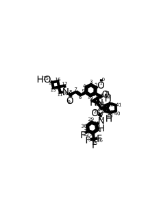 COc1ccc(/C=C/C(=O)N2CC3(CC(O)C3)C2)cc1C(=O)N[C@H]1[C@@H](C(=O)Nc2ccc(F)c(C(F)(F)F)c2)[C@H]2CC[C@@H]1/C2=C\C1CC1